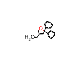 C=CC1=CC(c2ccccc2)(c2ccccc2)OC1